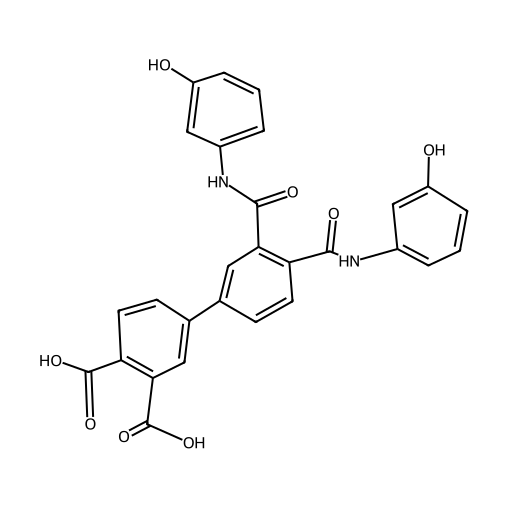 O=C(O)c1ccc(-c2ccc(C(=O)Nc3cccc(O)c3)c(C(=O)Nc3cccc(O)c3)c2)cc1C(=O)O